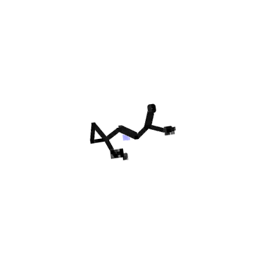 CC(C)C(=O)/C=C/C1(N)CC1